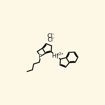 CCCCP1CC2=CC[C]([Hf+2][CH]3C=Cc4ccccc43)=C21.[Cl-].[Cl-]